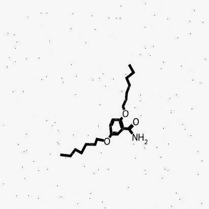 CCCCCCCOc1ccc(OCCCCCCC)c(C(N)=O)c1